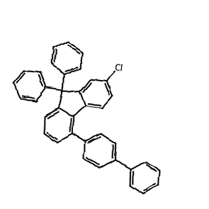 Clc1ccc2c(c1)C(c1ccccc1)(c1ccccc1)c1cccc(-c3ccc(-c4ccccc4)cc3)c1-2